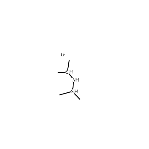 C[SiH](C)N[SiH](C)C.[Li]